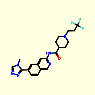 Cn1cnnc1-c1ccc2cnc(NC(=O)C3CCN(CCC(F)(F)F)CC3)cc2c1